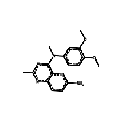 COc1ccc(N(C)c2nc(C)nc3ccc(N)cc23)cc1OC